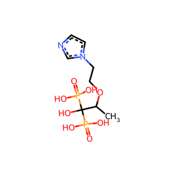 CC(OCCn1ccnc1)C(O)(P(=O)(O)O)P(=O)(O)O